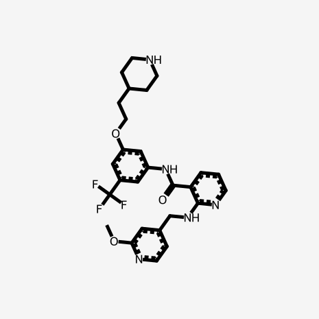 COc1cc(CNc2ncccc2C(=O)Nc2cc(OCCC3CCNCC3)cc(C(F)(F)F)c2)ccn1